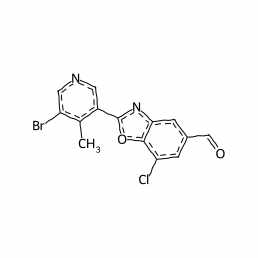 Cc1c(Br)cncc1-c1nc2cc(C=O)cc(Cl)c2o1